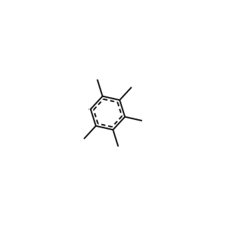 Cc1[c]c(C)c(C)c(C)c1C